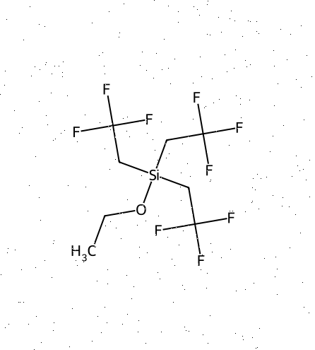 CCO[Si](CC(F)(F)F)(CC(F)(F)F)CC(F)(F)F